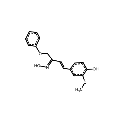 COc1cc(C=CC(COc2ccccc2)=NO)ccc1O